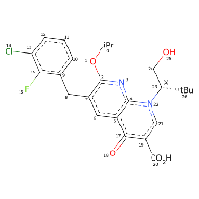 CC(C)Oc1nc2c(cc1Cc1cccc(Cl)c1F)c(=O)c(C(=O)O)cn2[C@H](CO)C(C)(C)C